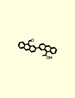 CC(O)c1c2ccccc2cc2ccc(-c3ccc4cc5ccccc5c(C=O)c4c3)cc12